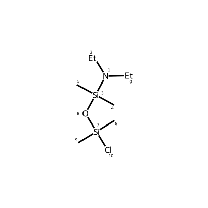 CCN(CC)[Si](C)(C)O[Si](C)(C)Cl